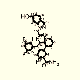 NC(=O)c1cc(-c2cccnc2C(Cc2cc(F)cc(F)c2)NC(=O)Cn2ncc3ccc(O)cc32)ccc1F